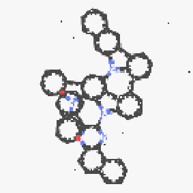 c1ccc(-c2nc3ccc4ccccc4c3nc2-n2c3cccc4c5cccc6c7cc8ccccc8cc7n(c7cc8c9ccccc9n(-c9ccccc9)c8c2c7c43)c56)cc1